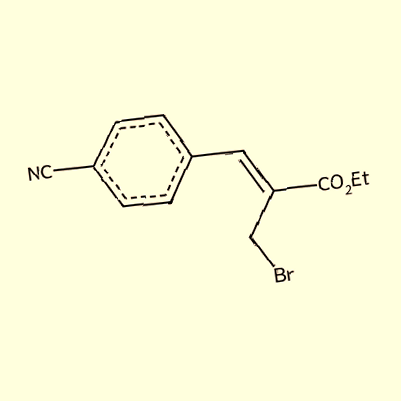 CCOC(=O)C(=Cc1ccc(C#N)cc1)CBr